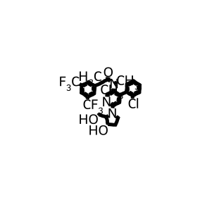 CN(C(=O)C(C)(C)c1cc(C(F)(F)F)cc(C(F)(F)F)c1)c1cnc(N2CCC(O)C2CO)cc1-c1ccccc1Cl